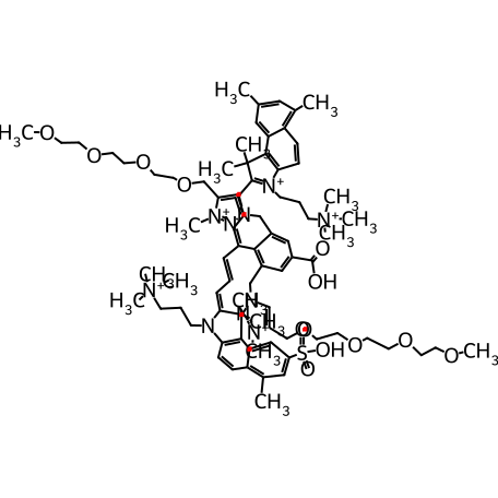 COCCOCCOCCOCc1cn(Cc2cc(C(=O)O)cc(Cn3cc(COCCOCCOCCOC)[n+](C)n3)c2C(=C\C=C\C2=[N+](CCC[N+](C)(C)C)c3ccc4c(C)cc(C)cc4c3C2(C)C)/C=C/C=C2/N(CCC[N+](C)(C)C)c3ccc4c(C)cc(S(=O)(=O)O)cc4c3C2(C)C)n[n+]1C